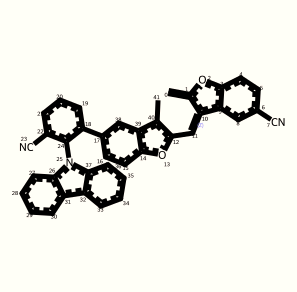 C=c1oc2ccc(C#N)cc2/c1=C/c1oc2ccc(-c3cccc(C#N)c3-n3c4ccccc4c4ccccc43)cc2c1C